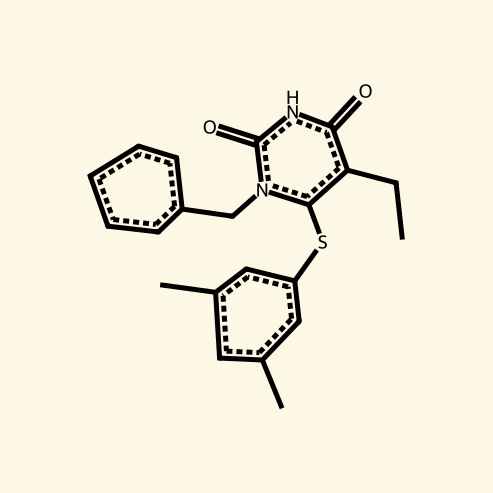 CCc1c(Sc2cc(C)cc(C)c2)n(Cc2ccccc2)c(=O)[nH]c1=O